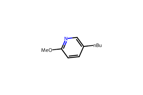 CCCCc1ccc(OC)nc1